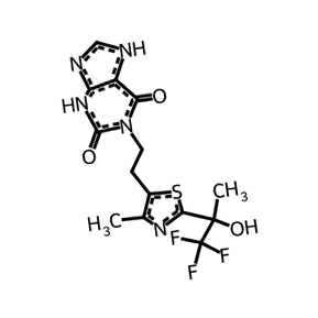 Cc1nc(C(C)(O)C(F)(F)F)sc1CCn1c(=O)[nH]c2nc[nH]c2c1=O